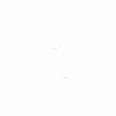 COC(=O)C1(c2ccc(-c3cc(F)c(Br)cc3Cl)cc2)CC1